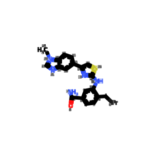 CC(C)Cc1ccc(C(N)=O)cc1Nc1nc(-c2ccc3c(c2)ncn3C)cs1